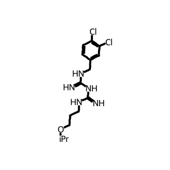 CC(C)OCCCNC(=N)NC(=N)NCc1ccc(Cl)c(Cl)c1